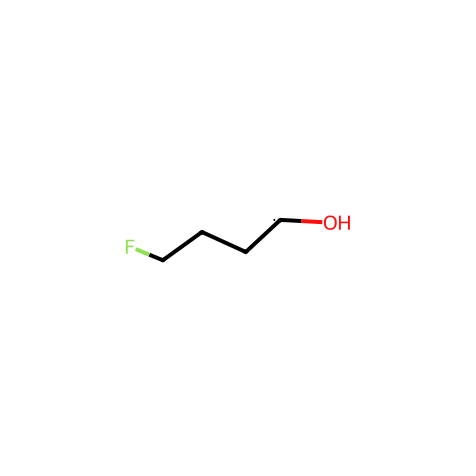 O[CH]CCCF